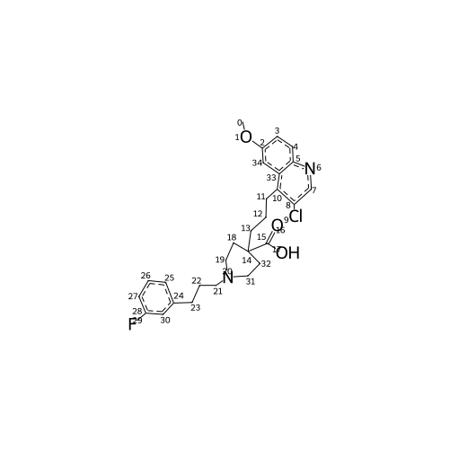 COc1ccc2ncc(Cl)c(CCCC3(C(=O)O)CCN(CCCc4cccc(F)c4)CC3)c2c1